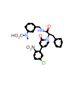 CN(C(=O)O)c1cccc(CNC(=O)C(Cc2ccccc2)n2ccc(-c3cc(Cl)ccc3[N+](=O)[O-])cc2=O)c1